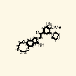 COc1c(N2CCOCC2)cc(C(=O)CN2Cc3cc4c(cc3C2=N)OCCNCCO4)cc1C(C)(C)C